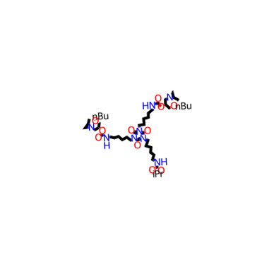 CCCCOCC(CN1CC1C)OC(=O)NCCCCCCn1c(=O)n(CCCCCCNC(=O)OC(C)C)c(=O)n(CCCCCCNC(=O)OC(COCCCC)CN2CC2C)c1=O